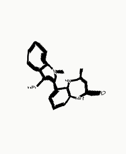 CCCc1c(-c2cccc3c2NC(C)CC(=O)N3)n(C)c2ccccc12